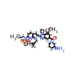 CCCN(c1ccc2cc(-c3nc4cc(C(=O)N5CCC[C@@H](N)C5)cc(OC)c4n3C)n(CC3CC3)c2n1)S(C)(=O)=O